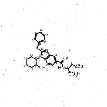 CCC(C)CC(NC(=O)c1ccc2c(c1)nc(Cc1ccccc1)n2C1CCCCC1C)C(=O)O